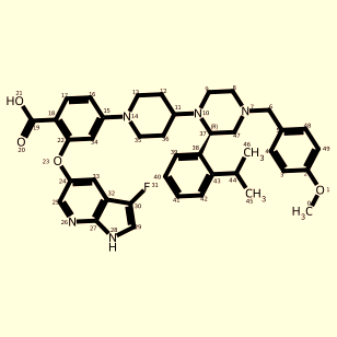 COc1ccc(CN2CCN(C3CCN(c4ccc(C(=O)O)c(Oc5cnc6[nH]cc(F)c6c5)c4)CC3)[C@H](c3ccccc3C(C)C)C2)cc1